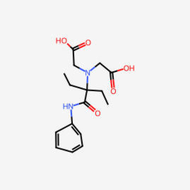 CCC(CC)(C(=O)Nc1ccccc1)N(CC(=O)O)CC(=O)O